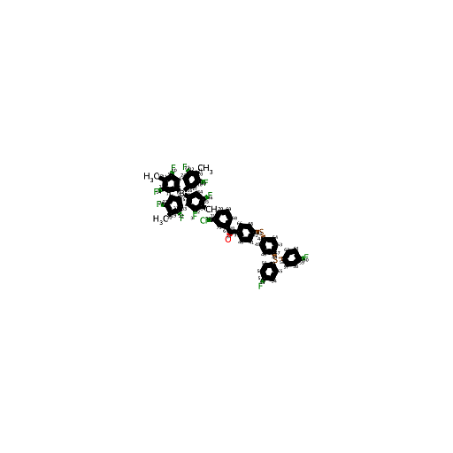 Cc1c(F)cc([B-](c2cc(F)c(C)c(F)c2)(c2cc(F)c(C)c(F)c2)c2cc(F)c(C)c(F)c2)cc1F.O=C(c1ccc(Sc2ccc([S+](c3ccc(F)cc3)c3ccc(F)cc3)cc2)cc1)c1cccc(Cl)c1